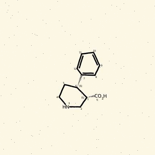 O=C(O)[C@@H]1CNCC[C@@H]1c1ccccc1